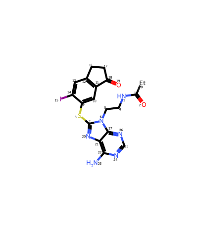 CCC(=O)NCCn1c(Sc2cc3c(cc2I)CCC3=O)nc2c(N)ncnc21